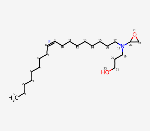 CCCCCCCC/C=C\CCCCCCCCN(CCCO)C1CO1